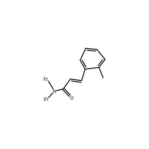 CCN(CC)C(=O)C=Cc1ccccc1C